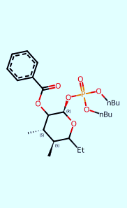 CCCCOP(=O)(OCCCC)O[C@H]1OC(CC)[C@@H](C)[C@H](C)C1OC(=O)c1ccccc1